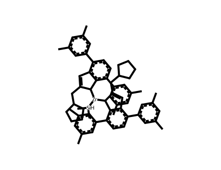 Cc1cc(C)cc(-c2ccc(-c3cc(C)cc(C)c3)c3c2C=C(CC2CCCC2)[CH]3[Zr]([CH]2C(CC3CCCC3)=Cc3c(-c4cc(C)cc(C)c4)ccc(-c4cc(C)cc(C)c4)c32)[SiH](C)C)c1